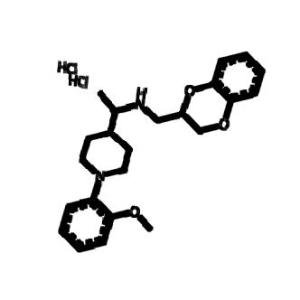 COc1ccccc1N1CCC(C(C)NCC2COc3ccccc3O2)CC1.Cl.Cl